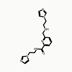 O=C(NCCn1ccnc1)c1cccc(CNCCn2ccnc2)n1